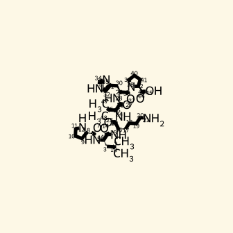 CC(C)C[C@H](NC(=O)[C@@H]1CCCN1)C(=O)N[C@@H](CCCCN)C(=O)N[C@H](C(=O)N[C@@H](Cc1c[nH]cn1)C(=O)N1CCC[C@H]1C(=O)O)C(C)C